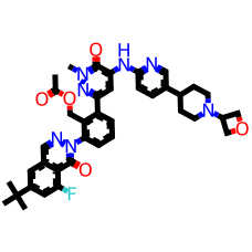 CC(=O)OCc1c(-c2cc(Nc3ccc(C4CCN(C5COC5)CC4)cn3)c(=O)n(C)n2)cccc1-n1ncc2cc(C(C)(C)C)cc(F)c2c1=O